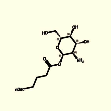 CCCCCCCCCCCCCC(=O)O[C@H]1O[C@H](CO)[C@@H](O)[C@H](O)[C@H]1N